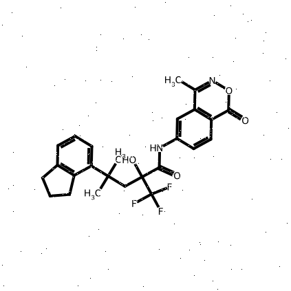 Cc1noc(=O)c2ccc(NC(=O)C(O)(CC(C)(C)c3cccc4c3CCC4)C(F)(F)F)cc12